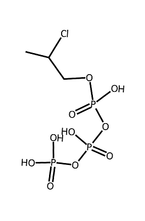 CC(Cl)COP(=O)(O)OP(=O)(O)OP(=O)(O)O